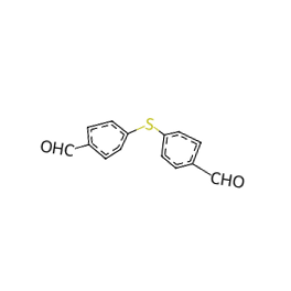 O=Cc1ccc(Sc2ccc(C=O)cc2)cc1